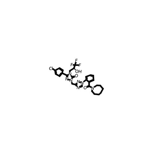 O=C(c1ccccc1-n1cnc(Cn2nc(-c3ccc(Cl)cc3)n(C[C@H](O)C(F)(F)F)c2=O)n1)N1CCCCCCC1